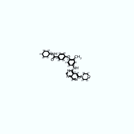 Cc1cc(Nc2ncnc3cnc(N4CCOCC4)cc23)ccc1Oc1ccc(C(=O)NC2CCCCC2)cc1